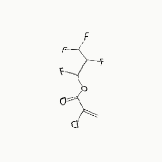 C=C(Cl)C(=O)OC(F)C(F)C(F)F